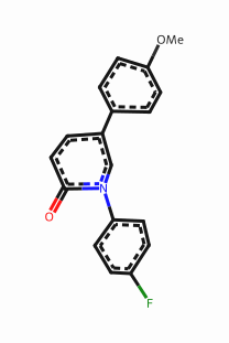 COc1ccc(-c2ccc(=O)n(-c3ccc(F)cc3)c2)cc1